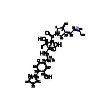 C=C1CN(C(=O)[C@H](O)[C@@](C)(O)C(=O)N[C@H](C)c2ccc(-n3cccn3)c(O)c2)C/C1=C/C=C\C